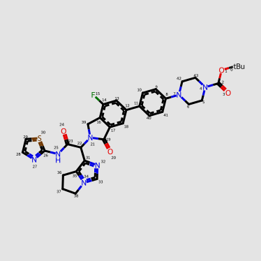 CC(C)(C)OC(=O)N1CCN(c2ccc(-c3cc(F)c4c(c3)C(=O)N(C(C(=O)Nc3nccs3)c3ncn5c3CCC5)C4)cc2)CC1